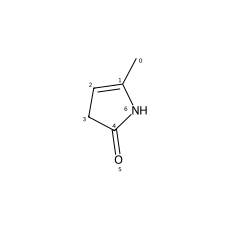 CC1=CCC(=O)N1